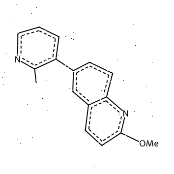 COc1ccc2cc(-c3cccnc3C)ccc2n1